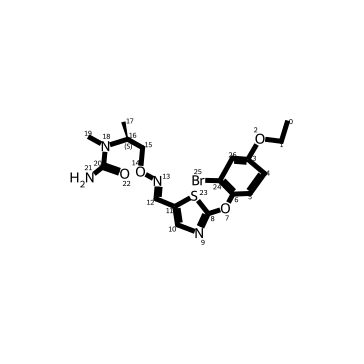 CCOc1ccc(Oc2ncc(C=NOC[C@H](C)N(C)C(N)=O)s2)c(Br)c1